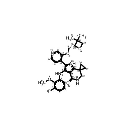 COc1c(F)cccc1Nc1c(-c2ccncc2OC[C@H]2OCC2(C)C)[nH]c2c1C(=O)NCC21CC1